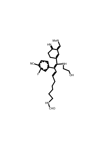 CN/C=C1C=C(/C(NCCO)=C(/C=C/CCCCCNC=O)c2ccc(C#N)c(F)c2)CCC/1=N